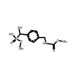 CCC(C)OP(=O)(O)C(O)c1ccc(CNC(=O)OC(C)(C)C)cc1